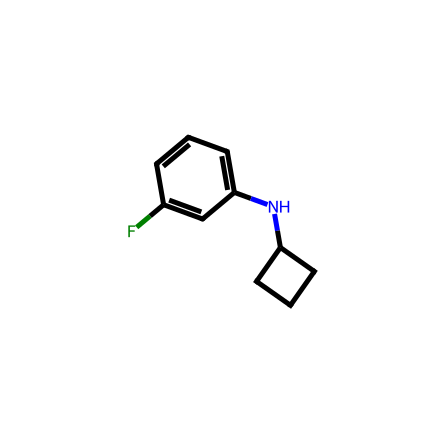 Fc1cccc(NC2CCC2)c1